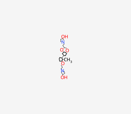 Cc1c(OCCCN2CCC(O)C2)cccc1-c1ccc2c(c1)OC(CCN1CCC(O)C1)CO2